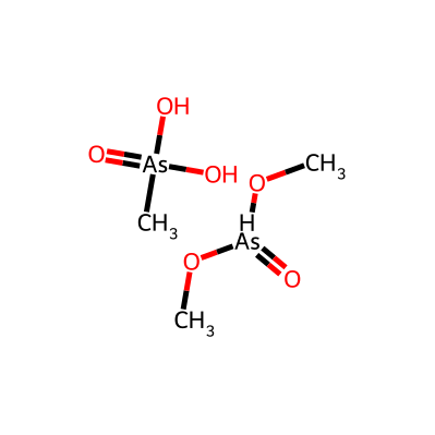 CO[AsH](=O)OC.C[As](=O)(O)O